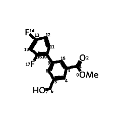 COC(=O)c1cc(CO)cc(-c2ccc(F)cc2F)c1